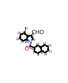 O=Cc1cn(C(=O)c2ccc3ccccc3c2)c2cccc(I)c12